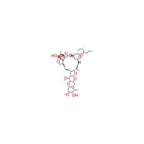 CC[C@H](C)[C@H]1O[C@]2(CC[C@@H]1C)C[C@@H]1C[C@@H](C/C=C(\C)C(O[C@H]3C[C@H](OC)C(O[C@H]4C[C@H](OC)[C@@H](O)[C@H](C)O4)[C@H](C)O3)[C@@H](C)/C=C/C=C3\CO[C@@H]4[C@H](O)C(C)=C[C@@H](C(=O)O1)[C@]34O)O2